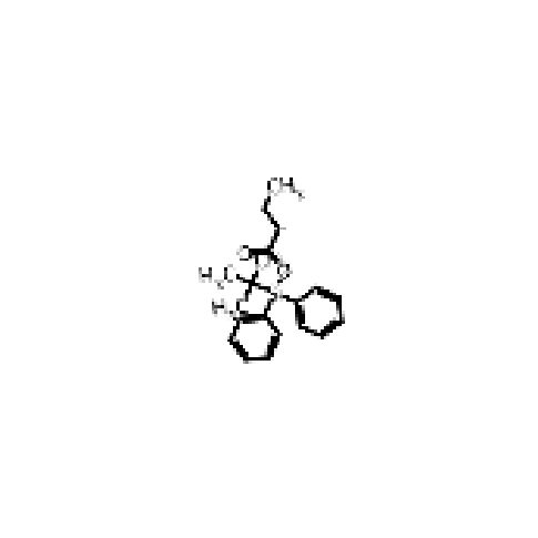 CC[CH]C(=O)O[Si](c1ccccc1)(c1ccccc1)C(C)(C)C